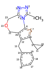 Cc1nnc2n1-c1sc(C3CC3)c(Cc3ccccc3)c1COC2